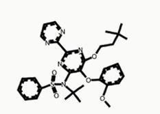 COc1ccccc1Oc1c(OCCC(C)(C)C)nc(-c2ncccn2)nc1N(C(C)(C)C)S(=O)(=O)c1ccccc1